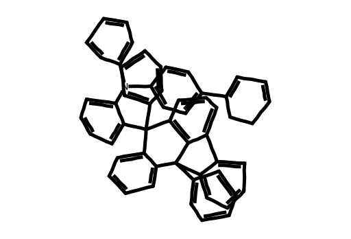 C1=CCCC(c2ccc(N(c3ccccc3)c3ccccc3C3(c4ccccc4)c4ccccc4C4(c5ccccc5)c5ccccc5-c5cccc3c54)cc2)=C1